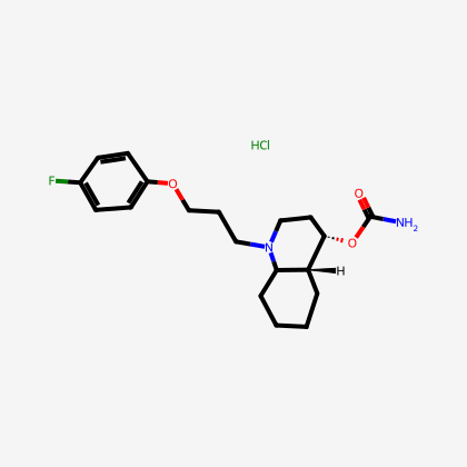 Cl.NC(=O)O[C@H]1CCN(CCCOc2ccc(F)cc2)C2CCCC[C@H]21